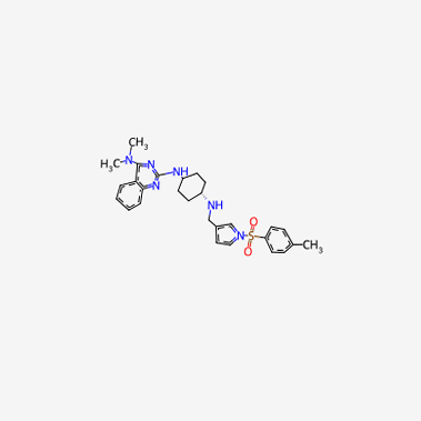 Cc1ccc(S(=O)(=O)n2ccc(CN[C@H]3CC[C@@H](Nc4nc(N(C)C)c5ccccc5n4)CC3)c2)cc1